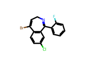 Fc1ccccc1C1=NCC=C(Br)c2ccc(Cl)cc21